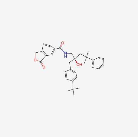 CC(C)(C)c1ccc(C[C@](O)(CNC(=O)c2ccc3c(c2)C(=O)OC3)CC(C)(C)c2ccccc2)cc1